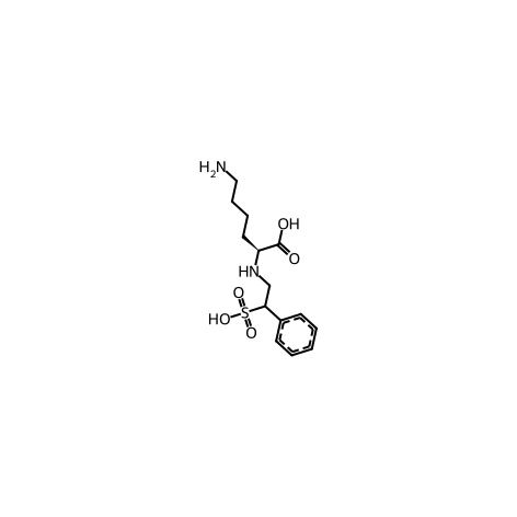 NCCCC[C@H](NCC(c1ccccc1)S(=O)(=O)O)C(=O)O